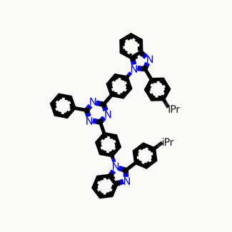 CC(C)c1ccc(-c2nc3ccccc3n2-c2ccc(-c3nc(-c4ccccc4)nc(-c4ccc(-n5c(-c6ccc(C(C)C)cc6)nc6ccccc65)cc4)n3)cc2)cc1